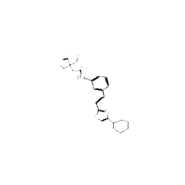 CCC(CC)(CC(=O)Nc1cccc(/C=C/c2nc(C3CCCCC3)cs2)c1)C(=O)O